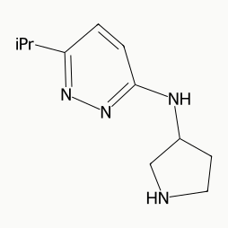 CC(C)c1ccc(NC2CCNC2)nn1